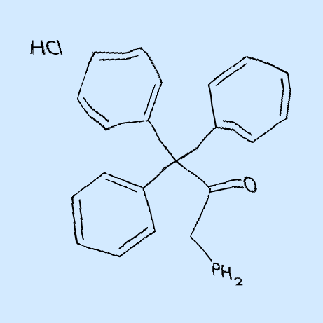 Cl.O=C(CP)C(c1ccccc1)(c1ccccc1)c1ccccc1